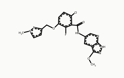 COc1n[nH]c2ncc(NC(=O)c3c(Cl)ccc(OCc4ccn(C)n4)c3F)cc12